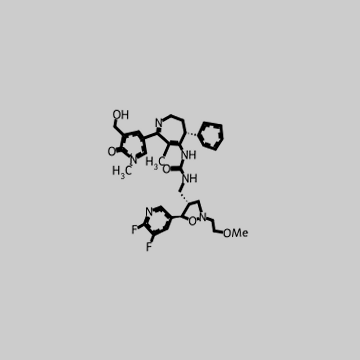 COCCN1C[C@@H](CNC(=O)NC2=C(C)C(c3cc(CO)c(=O)n(C)c3)=NCC[C@@H]2c2ccccc2)[C@H](c2cnc(F)c(F)c2)O1